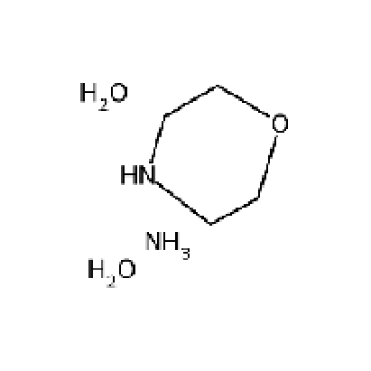 C1COCCN1.N.O.O